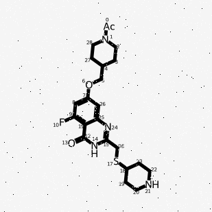 CC(=O)N1CCC(COc2cc(F)c3c(=O)[nH]c(CSC4CCNCC4)nc3c2)CC1